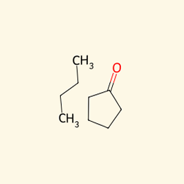 CCCC.O=C1CCCC1